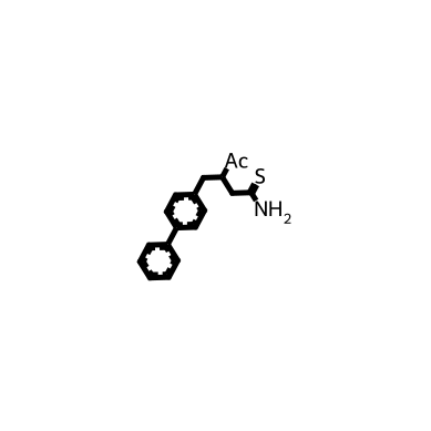 CC(=O)C(CC(N)=S)Cc1ccc(-c2ccccc2)cc1